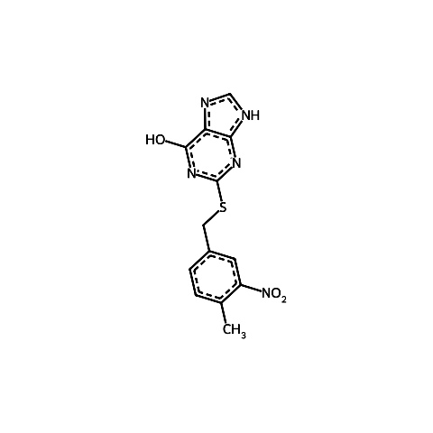 Cc1ccc(CSc2nc(O)c3nc[nH]c3n2)cc1[N+](=O)[O-]